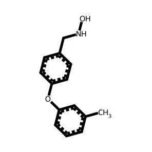 Cc1cccc(Oc2ccc(CNO)cc2)c1